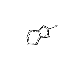 Brc1cc2ccncc2[nH]1